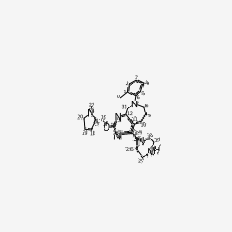 Cc1ccccc1N1CCCc2c(nc(OC[C@@H]3CCCN3C)nc2N2CCNCC2)C1